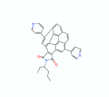 CCCC(CC)n1c(=O)c2c3cc(-c4ccncc4)c4ccc5ccc6c(-c7ccncc7)cc(c2c1=O)c1c6c5c4c31